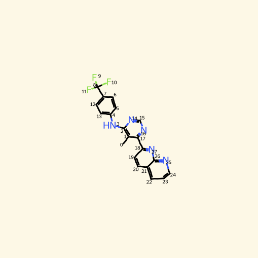 Cc1c(Nc2ccc(C(F)(F)F)cc2)ncnc1-c1ccc2cccnc2n1